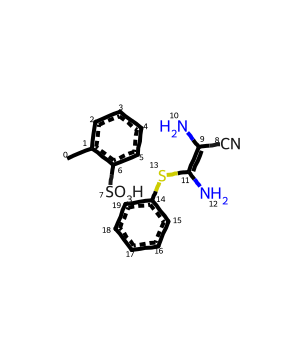 Cc1ccccc1S(=O)(=O)O.N#C/C(N)=C(\N)Sc1ccccc1